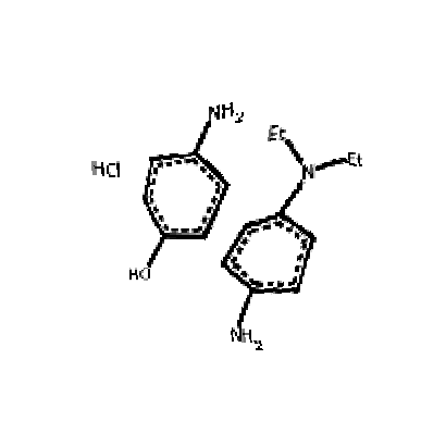 CCN(CC)c1ccc(N)cc1.Cl.Nc1ccc(O)cc1